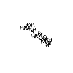 O=S(=O)(Nc1ncns1)c1cc(Br)c(NCCCCN[C@@H]2CNC[C@H]2O)cc1F